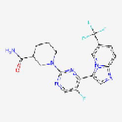 NC(=O)C1CCCN(c2ncc(F)c(-c3cnc4ccc(C(F)(F)F)cn34)n2)C1